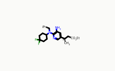 CCOC(=O)C[C@@H](C)c1cnc(N(CC(C)C)C2CCC(F)(F)CC2)c(N)c1